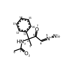 CC(=O)NC(C)(C(=O)C=[N+]=[N-])c1ccccc1